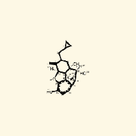 C=C1C(CC2CC2)C[C@@]2(O)[C@H]3Cc4ccc(O)c5c4[C@@]2(CCN3)[C@H]1O5.Cl